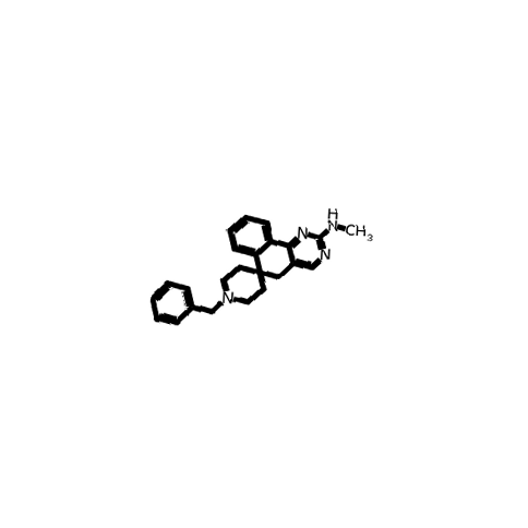 CNc1ncc2c(n1)-c1ccccc1C1(CCN(Cc3ccccc3)CC1)C2